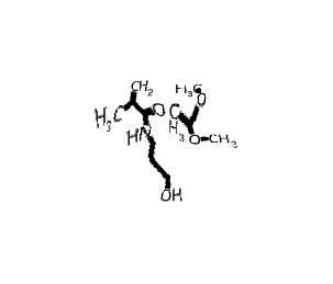 C=C(C)C(=O)NCCCO.COC(C)OC